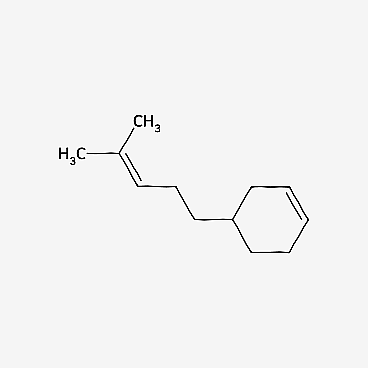 CC(C)=CCCC1CC=CCC1